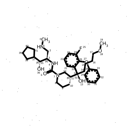 CNC[C@@H](NC(=O)N1CCC[C@@H]([C@@](O)(CCCCOC)c2cccc(F)c2Oc2ccccc2)C1)[C@H](O)C1CCCC1